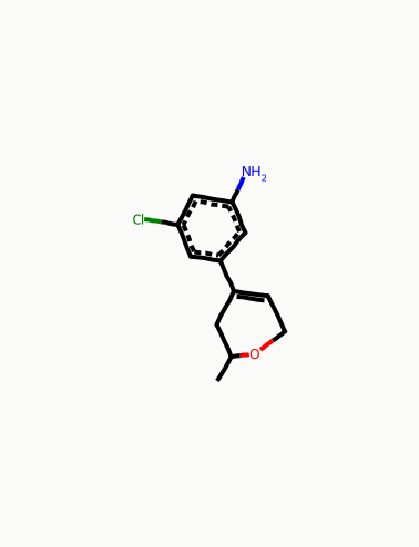 CC1CC(c2cc(N)cc(Cl)c2)=CCO1